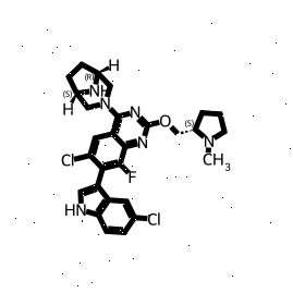 CN1CCC[C@H]1COc1nc(N2C[C@H]3CC[C@@H](C2)N3)c2cc(Cl)c(-c3c[nH]c4ccc(Cl)cc34)c(F)c2n1